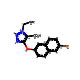 CC(=O)OCn1nnc(Oc2ccc3cc(Br)ccc3c2)c1C(=O)O